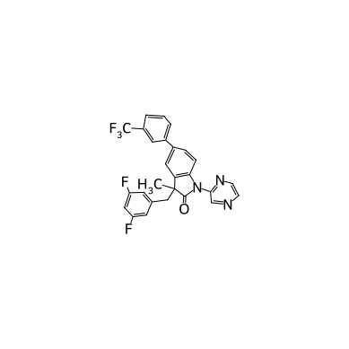 CC1(Cc2cc(F)cc(F)c2)C(=O)N(c2cnccn2)c2ccc(-c3cccc(C(F)(F)F)c3)cc21